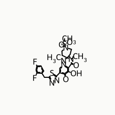 CN1C(=O)c2c(O)c(=O)c(-c3nnc(Cc4ccc(F)cc4F)s3)cn2N(C)C12CCN(S(C)(=O)=O)CC2